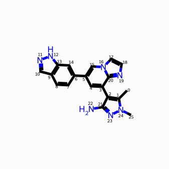 Cc1c(-c2cc(-c3ccc4cn[nH]c4c3)cn3ccnc23)c(N)nn1C